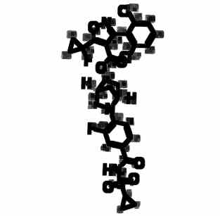 O=C(NS(=O)(=O)C1CC1)c1ccc(N2C[C@@H]3C[C@H]2C[C@H]3OC(=O)c2c(-c3c(Cl)cccc3Cl)noc2C2(F)CC2)c(F)c1